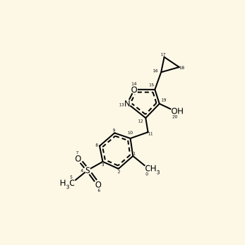 Cc1cc(S(C)(=O)=O)ccc1Cc1noc(C2CC2)c1O